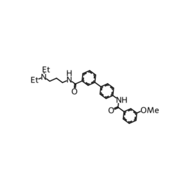 CCN(CC)CCCNC(=O)c1cccc(-c2ccc(NC(=O)c3cccc(OC)c3)cc2)c1